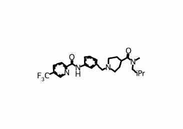 CC(C)CN(C)C(=O)C1CCN(Cc2cccc(NC(=O)c3ccc(C(F)(F)F)cn3)c2)CC1